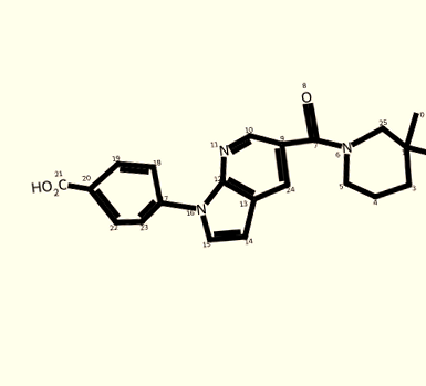 CC1(C)CCCN(C(=O)c2cnc3c(ccn3-c3ccc(C(=O)O)cc3)c2)C1